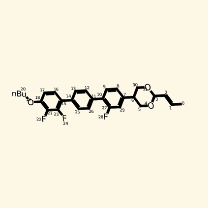 C/C=C/C1OCC(c2ccc(-c3ccc(-c4ccc(OCCCC)c(F)c4F)cc3)c(F)c2)CO1